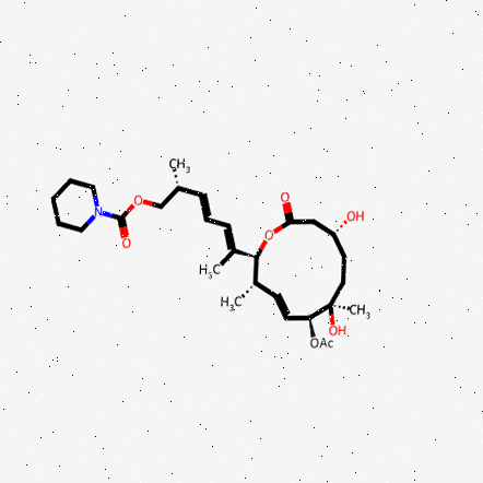 CC(=O)O[C@H]1/C=C/[C@H](C)[C@@H](/C(C)=C/C=C/[C@@H](C)COC(=O)N2CCCCC2)OC(=O)C[C@H](O)CC[C@@]1(C)O